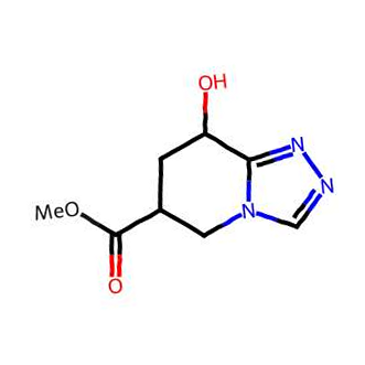 COC(=O)C1CC(O)c2nncn2C1